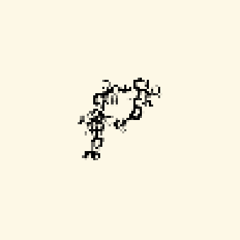 C=CC(=O)N1CC[C@H](C(=O)N(C)[C@H](C(=O)N[C@H]2Cc3coc(n3)-c3ccc4c(c3)c(c(-c3cccnc3[C@H](C)OC)n4CC)CC(C)(C)COC(=O)[C@@H]3CCCN(N3)C2=O)C(C)C)C1